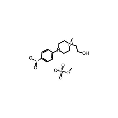 COS(=O)(=O)[O-].C[N+]1(CCO)CCN(c2ccc([N+](=O)[O-])cc2)CC1